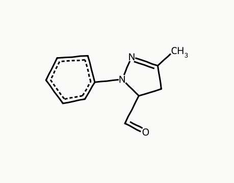 CC1=NN(c2ccccc2)C(C=O)C1